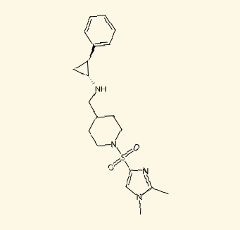 Cc1nc(S(=O)(=O)N2CCC(CN[C@@H]3C[C@H]3c3ccccc3)CC2)cn1C